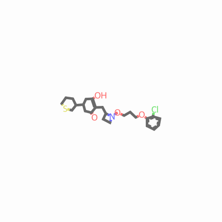 O=C1CC(C2CCCSC2)CC(O)=C1CC1CCN1OCCCOc1ccccc1Cl